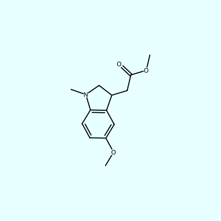 COC(=O)CC1CN(C)c2ccc(OC)cc21